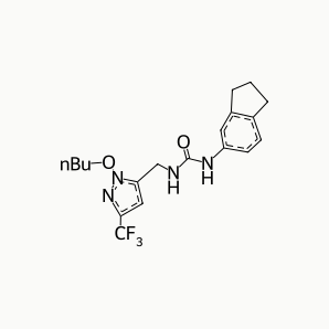 CCCCOn1nc(C(F)(F)F)cc1CNC(=O)Nc1ccc2c(c1)CCC2